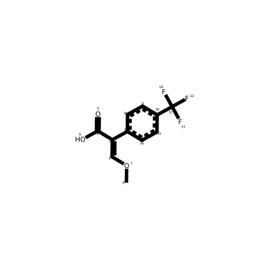 CO/C=C(/C(=O)O)c1ccc(C(F)(F)F)cc1